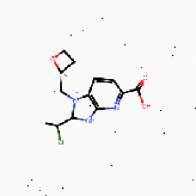 CC(Cl)C1Nc2nc(C(=O)O)ccc2N1C[C@@H]1CCO1